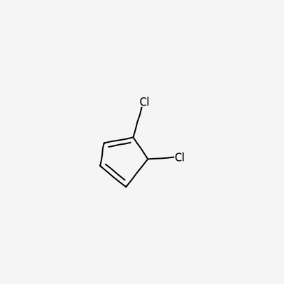 ClC1=CC=CC1Cl